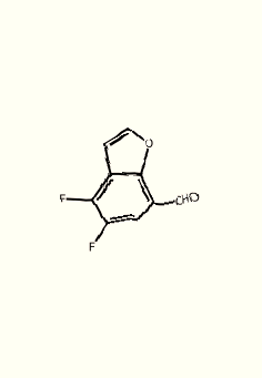 O=Cc1cc(F)c(F)c2ccoc12